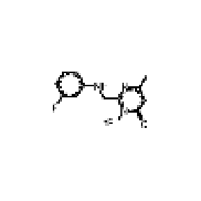 Cc1cc(=O)n(C(C)(C)C)c(CNc2cccc(F)c2)n1